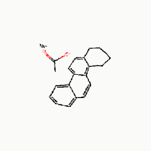 CC(=O)[O-].[Na+].c1ccc2c(c1)ccc1c3c(ccc12)CCCC3